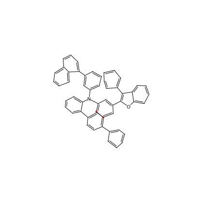 c1ccc(-c2ccc(-c3ccccc3N(c3cccc(-c4oc5ccccc5c4-c4ccccc4)c3)c3cccc(-c4cccc5ccccc45)c3)cc2)cc1